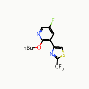 CCCCOc1ncc(F)cc1-c1csc(C(F)(F)F)n1